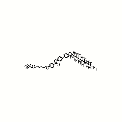 CC1(COCCCCCCOc2ccc(C(=O)Oc3ccc(-c4ccc(OC(F)(F)C(F)(F)C(F)(F)C(F)(F)C(F)(F)C(F)(F)C(F)(F)C(F)(F)C(F)(F)C(F)(F)C(F)(F)F)cc4)cc3)cc2)COC1